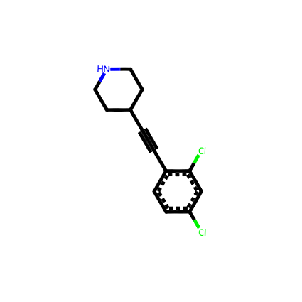 Clc1ccc(C#CC2CCNCC2)c(Cl)c1